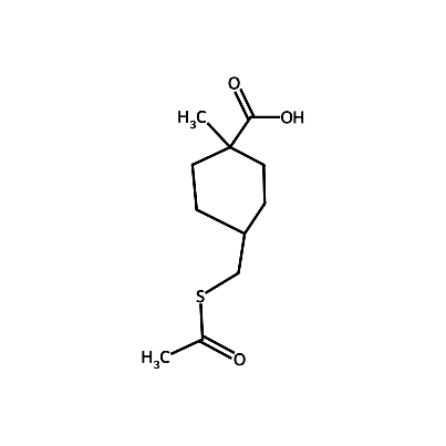 CC(=O)SCC1CCC(C)(C(=O)O)CC1